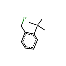 C[Si](C)(C)c1ccccc1CBr